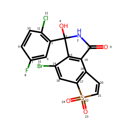 O=C1NC(O)(c2cc(F)ccc2Cl)c2c(Br)cc3c(c21)C=CS3(=O)=O